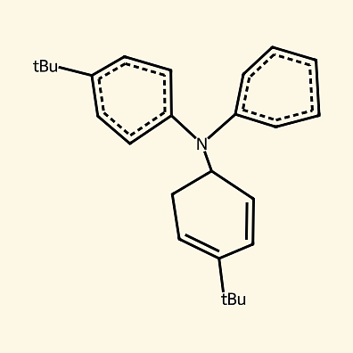 CC(C)(C)C1=CCC(N(c2ccccc2)c2ccc(C(C)(C)C)cc2)C=C1